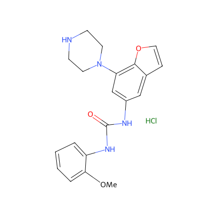 COc1ccccc1NC(=O)Nc1cc(N2CCNCC2)c2occc2c1.Cl